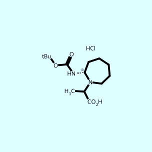 CC(C(=O)O)N1CCCCC[C@H]1NC(=O)OC(C)(C)C.Cl